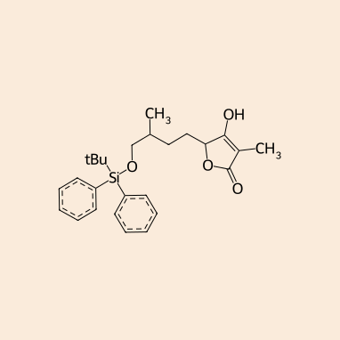 CC1=C(O)C(CCC(C)CO[Si](c2ccccc2)(c2ccccc2)C(C)(C)C)OC1=O